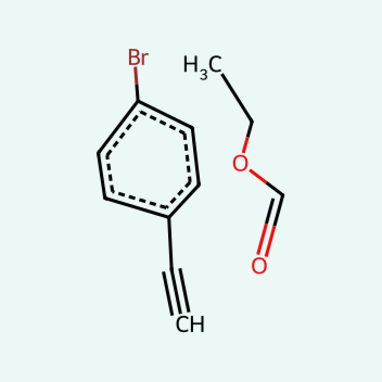 C#Cc1ccc(Br)cc1.CCOC=O